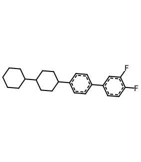 Fc1ccc(-c2ccc(C3CCC(C4CCCCC4)CC3)cc2)cc1F